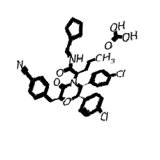 CCC[C@H](C(=O)NCC1CCCC1)N1C(=O)[C@H](Cc2ccc(C#N)cc2)O[C@@H](c2ccc(Cl)cc2)[C@H]1c1ccc(Cl)cc1.O=C(O)O